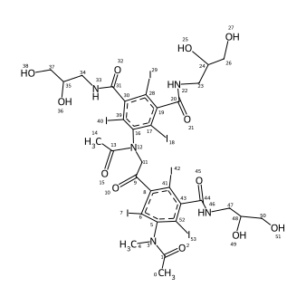 CC(=O)N(C)c1c(I)c(C(=O)CN(C(C)=O)c2c(I)c(C(=O)NCC(O)CO)c(I)c(C(=O)NCC(O)CO)c2I)c(I)c(C(=O)NCC(O)CO)c1I